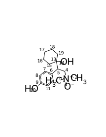 C[N+](C)([O-])CC(c1ccc(O)cc1)C1(O)CCCCC1